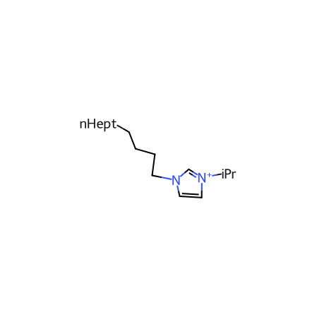 CCCCCCCCCCCn1cc[n+](C(C)C)c1